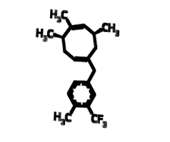 C/C1=C/[C@@H](C)C/C(Cc2ccc(C)c(C(F)(F)F)c2)=C\C[C@H]1C